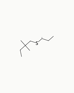 CC[CH]SCC(C)(C)CC